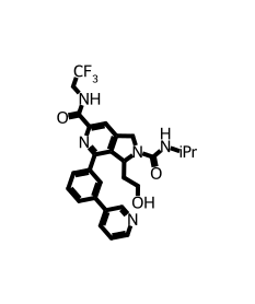 CC(C)NC(=O)N1Cc2cc(C(=O)NCC(F)(F)F)nc(-c3cccc(-c4cccnc4)c3)c2C1CCO